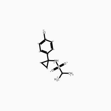 CC(C)S(=O)(=O)NC1(c2ccc(Cl)cc2)CC1